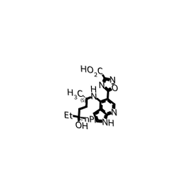 CCC[C@@](O)(CC)CC[C@H](C)Nc1c(-c2nc(C(=O)O)no2)cnc2[nH]ccc12